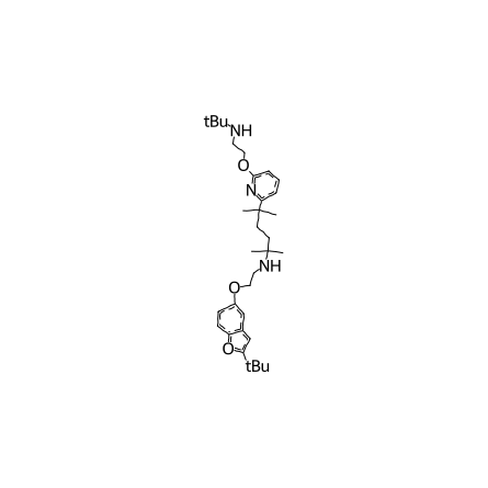 CC(C)(C)NCCOc1cccc(C(C)(C)CCC(C)(C)NCCOc2ccc3oc(C(C)(C)C)cc3c2)n1